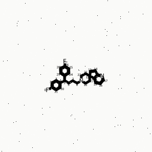 Fc1ccc(C(CCCN2CCC3(C=Cc4ncccc43)CC2)c2ccc(F)cc2)cc1